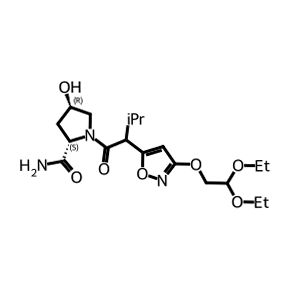 CCOC(COc1cc(C(C(=O)N2C[C@H](O)C[C@H]2C(N)=O)C(C)C)on1)OCC